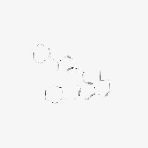 O=c1[nH]ccc2cc(OC3CCCNC3)nc(Nc3ccc(N4CCOCC4)cc3)c12